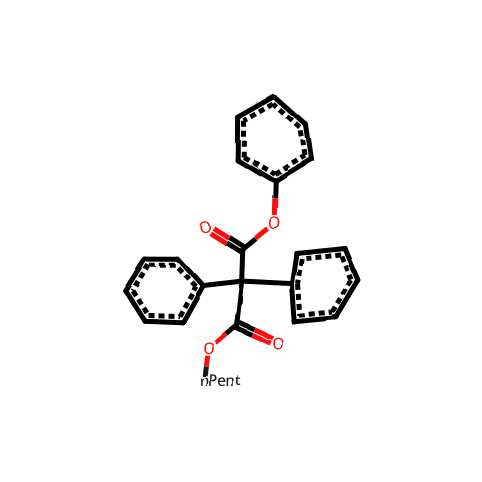 CCCCCOC(=O)C(C(=O)Oc1ccccc1)(c1ccccc1)c1ccccc1